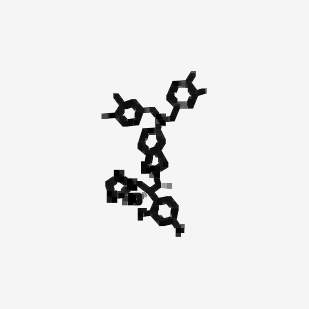 Cc1ccc(CN(Cc2ccc(C)c(C)c2)c2ccc3nn([C@H](C)[C@](O)(Cn4cncn4)c4ccc(F)cc4F)cc3c2)cc1C